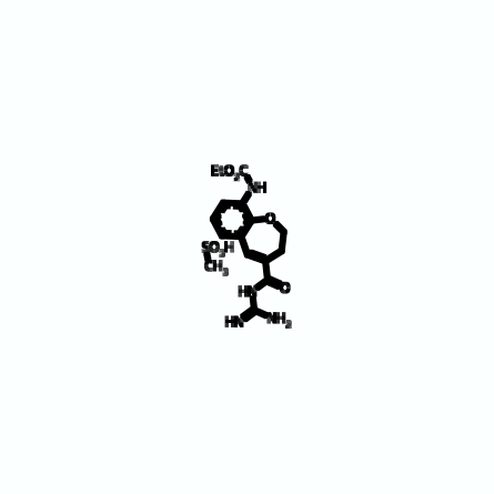 CCOC(=O)Nc1cccc2c1OCCC(C(=O)NC(=N)N)=C2.CS(=O)(=O)O